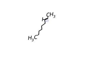 C/C=C(\I)CCCCCC